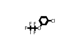 FC(F)(I)C(F)(F)Oc1c[c]cc(Cl)c1